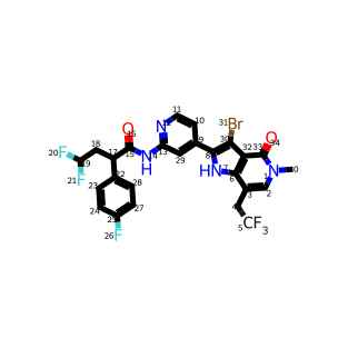 Cn1cc(CC(F)(F)F)c2[nH]c(-c3ccnc(NC(=O)C(CC(F)F)c4ccc(F)cc4)c3)c(Br)c2c1=O